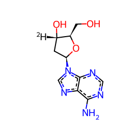 [2H][C@]1(O)C[C@H](n2cnc3c(N)ncnc32)O[C@@H]1CO